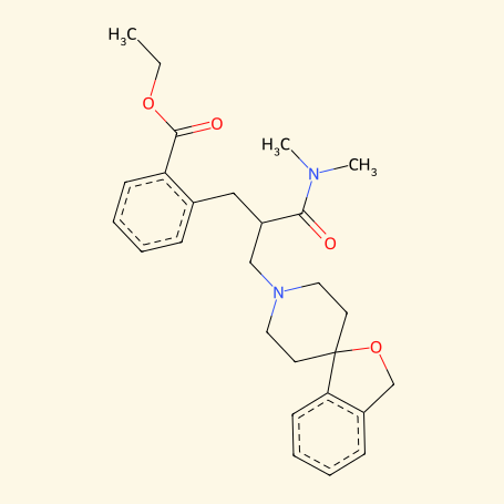 CCOC(=O)c1ccccc1CC(CN1CCC2(CC1)OCc1ccccc12)C(=O)N(C)C